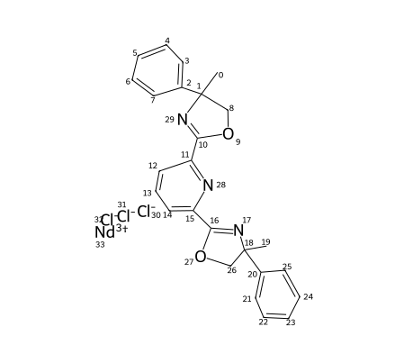 CC1(c2ccccc2)COC(c2cccc(C3=NC(C)(c4ccccc4)CO3)n2)=N1.[Cl-].[Cl-].[Cl-].[Nd+3]